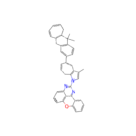 Cc1cn(-c2nc3c4c(cccc4n2)Oc2ccccc2-3)c2c1C=C(c1ccc3c(c1)CC1=C(CC=CC=C1)C3(C)C)C=CC2